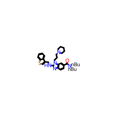 CCCCN(CCCC)C(=O)c1ccc2nc(NCc3csc4ccccc34)n(CCCN3CCCCC3)c2c1